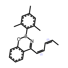 C/C=C\C=C/C1=NB(c2c(C)cc(C)cc2C)Oc2ccccc21